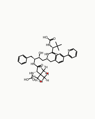 [2H]C([2H])([2H])C([C@H](NC(=O)O)C(=O)N[C@@H](Cc1ccccc1)[C@@H](O)CN(Cc1ccc(-c2ccccn2)cc1)NC(=O)[C@@H](NC(=O)O)C(C)(C)C)(C([2H])([2H])[2H])C([2H])([2H])[2H]